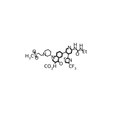 CCNC(=O)Nc1cc(-c2nc(C(F)(F)F)cs2)c(-c2ccc3c(c2)c(=O)c(C(=O)O)cn3[C@H]2CCCN(CCS(C)(=O)=O)C2)cn1